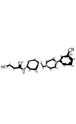 N#CCCC(=O)N[C@H]1CC[C@H](CCN2CCN(c3cccc(C#N)c3)CC2)CC1